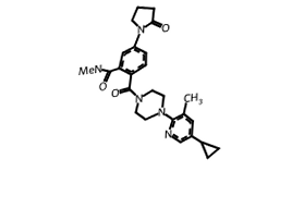 CNC(=O)c1cc(N2CCCC2=O)ccc1C(=O)N1CCN(c2ncc(C3CC3)cc2C)CC1